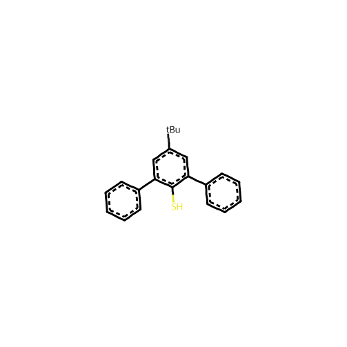 CC(C)(C)c1cc(-c2ccccc2)c(S)c(-c2ccccc2)c1